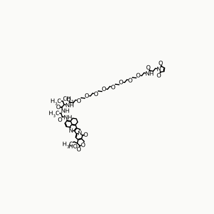 CC[C@@]1(O)C(=O)OCc2c1cc1n(c2=O)Cc2c-1nc1ccc(NC(=O)C(C)NC(=O)C(NC(=O)CCOCCOCCOCCOCCOCCOCCOCCOCCNC(=O)CCN3C(=O)C=CC3=O)C(C)C)c3c1c2CCC3